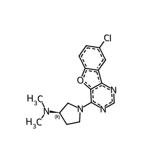 CN(C)[C@@H]1CCN(c2ncnc3c2oc2ccc(Cl)cc23)C1